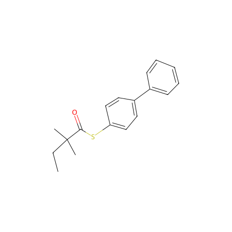 CCC(C)(C)C(=O)Sc1ccc(-c2ccccc2)cc1